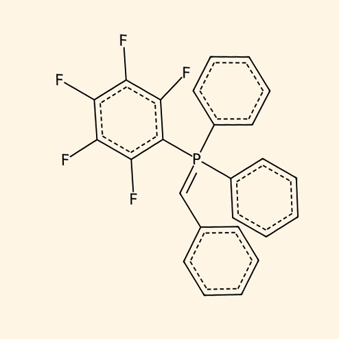 Fc1c(F)c(F)c(P(=Cc2ccccc2)(c2ccccc2)c2ccccc2)c(F)c1F